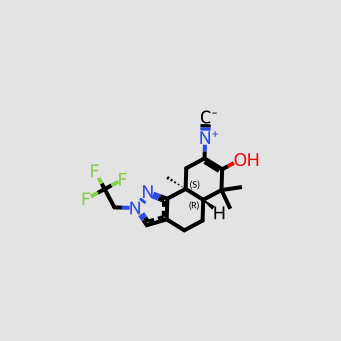 [C-]#[N+]C1=C(O)C(C)(C)[C@@H]2CCc3cn(CC(F)(F)F)nc3[C@@]2(C)C1